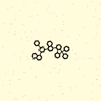 c1ccc(-c2nc(-c3cccc4ncccc34)cc(-c3ccc(-c4cccc5c4-c4ccccc4C5(c4ccccc4)c4ccccc4)c4ccccc34)n2)cc1